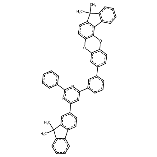 CC1(C)c2ccccc2-c2ccc(-c3cc(-c4cccc(-c5ccc6c(c5)Oc5ccc7c(c5O6)-c5ccccc5C7(C)C)c4)nc(-c4ccccc4)n3)cc21